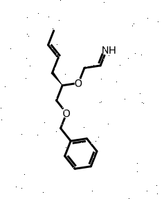 CC=CC[C@H](COCc1ccccc1)OCC=N